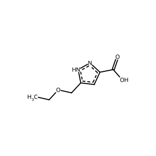 CCOCc1cc(C(=O)O)n[nH]1